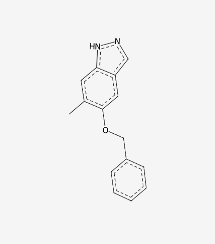 Cc1cc2[nH]ncc2cc1OCc1ccccc1